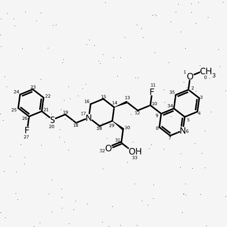 COc1ccc2nccc(C(F)CC[C@@H]3CCN(CCSc4ccccc4F)C[C@@H]3CC(=O)O)c2c1